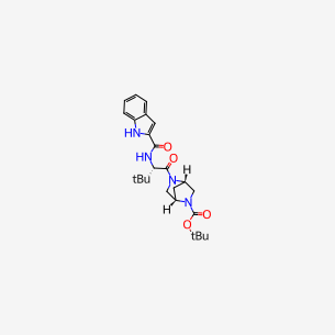 CC(C)(C)OC(=O)N1C[C@@H]2C[C@H]1CN2C(=O)[C@@H](NC(=O)c1cc2ccccc2[nH]1)C(C)(C)C